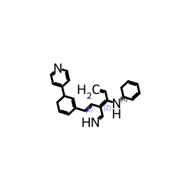 C=C/C(N[C@H]1C=CC=CC1)=C(C=N)\C=C\C1=CC(c2ccncc2)CC=C1